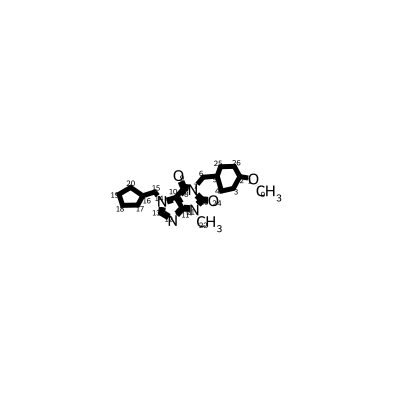 COC1CCC(Cn2c(=O)c3c(ncn3CC3CCCC3)n(C)c2=O)CC1